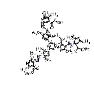 COC(=O)c1c(C)nn(C)c1/N=N/c1c(C)nn(-c2nc(-n3nc(C)c(/N=N/c4nn(C)c(C)c4C(=O)CO)c3N)nc(-n3nc(C)c(/N=N/c4c(C(=O)OC)c(C)nn4C)c3N)n2)c1N